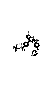 CN1CCN(Cc2ccc(Nc3nc(-c4ccc(C(=O)NCC(F)(F)F)cc4)c4cc[nH]c4n3)cc2)CC1